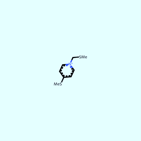 [CH2]Sc1cc[n+](CSC)cc1